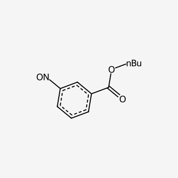 CCCCOC(=O)c1cccc(N=O)c1